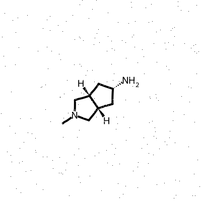 CN1C[C@H]2C[C@@H](N)C[C@H]2C1